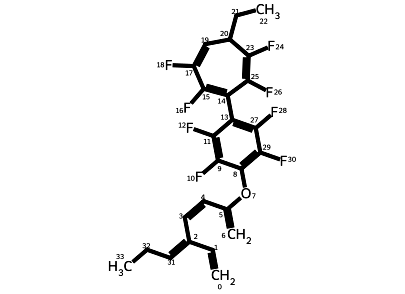 C=CC(/C=C\C(=C)Oc1c(F)c(F)c(C2=C(F)C(F)=CC(CC)C(F)=C2F)c(F)c1F)=C/CC